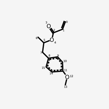 C=CC(=O)OC(C)Cc1ccc(OC)cc1